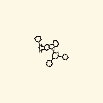 c1ccc(-c2cc(-c3ccccc3)nc(-n3c4ccccc4c4cc5c(cc43)ncn5-c3ccccc3)c2)cc1